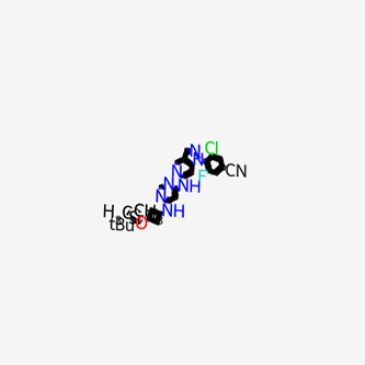 CC(C)(C)[Si](C)(C)O[C@H]1C[C@@H](Nc2cc(Nc3cc4c(cn3)cnn4-c3c(F)cc(C#N)cc3Cl)ncn2)C1